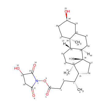 C[C@H](CCC(=O)ON1C(=O)CC(O)C1=O)[C@H]1CC[C@H]2[C@@H]3CCC4C[C@H](O)CC[C@]4(C)[C@H]3CC[C@]12C